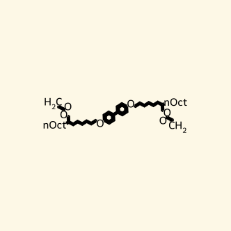 C=CC(=O)OCC(CCCCCCCC)CCCCCCOc1ccc(-c2ccc(OCCCCCCC(CCCCCCCC)COC(=O)C=C)cc2)cc1